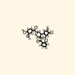 COc1ccc(C(=O)N2CC[C@@H](NC(=O)c3ccccc3Cl)[C@H](c3ccc(Cl)c(F)c3)C2)cc1OC